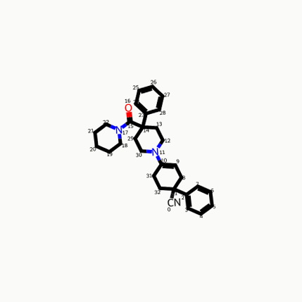 N#CC1(c2ccccc2)CC=C(N2CCC(C(=O)N3CCCCC3)(c3ccccc3)CC2)CC1